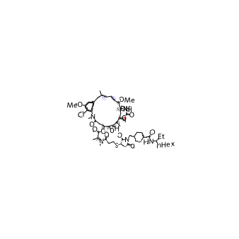 CCCCCCC(CC)NC(=O)C1CCC(CN2C(=O)CC(SCCC(=O)N(C)[C@@H](C)C(=O)O[C@H]3CC(=O)N(C)c4cc(cc(OC)c4Cl)C/C(C)=C/C=C/[C@@H](OC)[C@@]4(O)C[C@H](OC(=O)N4)[C@@H](C)[C@@H]4O[C@@]34C)C2=O)CC1